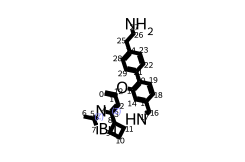 C=C(/C=C(\N=C(\C)C(C)CC)C1CCC1)Oc1cc(C=N)ccc1-c1ccc(CCN)cc1